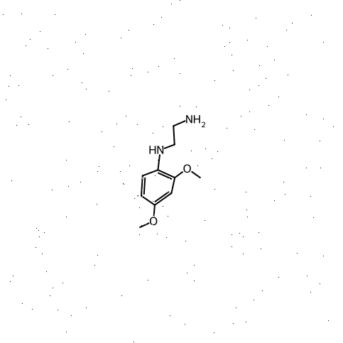 COc1[c]cc(NCCN)c(OC)c1